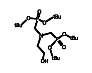 CC(C)(C)OP(=O)(CN(CCO)CP(=O)(OC(C)(C)C)OC(C)(C)C)OC(C)(C)C